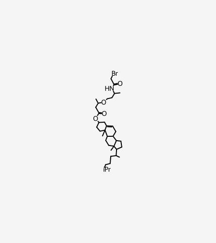 CC(C)CCCC(C)C1CCC2C3CC=C4CC(OC(=O)CC(C)OCCC(C)NC(=O)CBr)CCC4(C)C3CCC12C